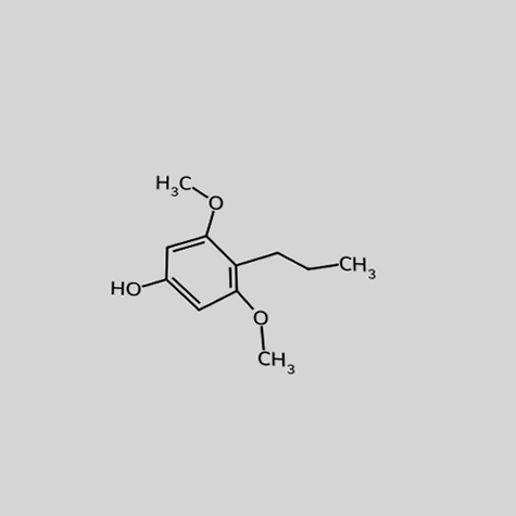 CCCc1c(OC)cc(O)cc1OC